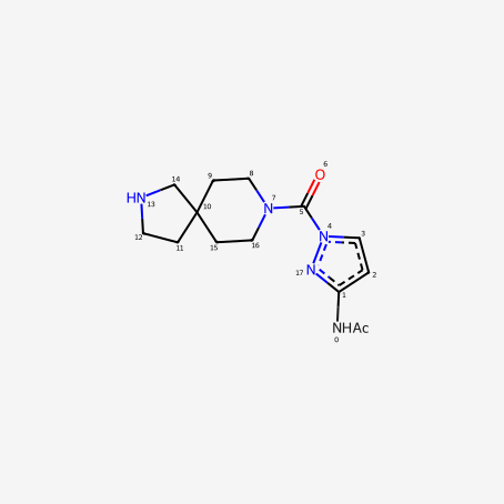 CC(=O)Nc1ccn(C(=O)N2CCC3(CCNC3)CC2)n1